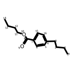 [CH2]CCCc1ccc(C(=O)OCCCC)cc1